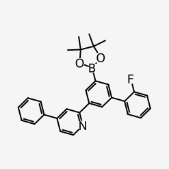 CC1(C)OB(c2cc(-c3cc(-c4ccccc4)ccn3)cc(-c3ccccc3F)c2)OC1(C)C